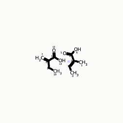 C/C=C(\C)C(=O)O.C=C(CC)C(=O)O